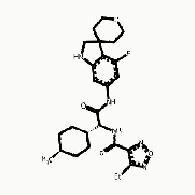 CCc1nonc1C(=O)NC(C(=O)Nc1cc(F)c2c(c1)NCC21CCOCC1)[C@H]1CC[C@H](C)CC1